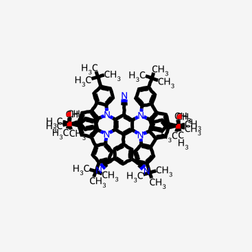 CC(C)(C)c1ccc2c(c1)c1cc(C(C)(C)C)ccc1n2-c1c(C#N)c(-n2c3ccc(C(C)(C)C)cc3c3cc(C(C)(C)C)ccc32)c(-n2c3ccc(C(C)(C)C)cc3c3cc(C(C)(C)C)ccc32)c(-c2cc(C#N)cc(C#N)c2)c1-n1c2ccc(C(C)(C)C)cc2c2cc(C(C)(C)C)ccc21